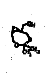 CC1(C)OCC2CC2(CO)CO1